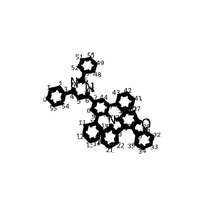 c1ccc(-c2cc(-c3cc(-c4ccccc4)c(-n4c5ccccc5c5c6c(ccc54)oc4ccccc46)c(-c4ccccc4)c3)nc(-c3ccccc3)n2)cc1